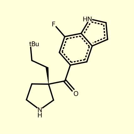 CC(C)(C)CC[C@]1(C(=O)c2cc(F)c3[nH]ccc3c2)CCNC1